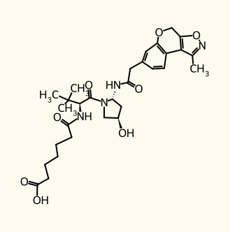 Cc1noc2c1-c1ccc(CC(=O)N[C@@H]3C[C@@H](O)CN3C(=O)[C@@H](NC(=O)CCCCCC(=O)O)C(C)(C)C)cc1OC2